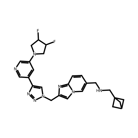 FC1CN(c2cncc(-c3cn(Cc4cn5cc(CNCC67CC(C6)C7)ccc5n4)nn3)c2)CC1F